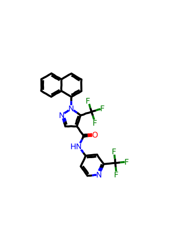 O=C(Nc1ccnc(C(F)(F)F)c1)c1cnn(-c2cccc3ccccc23)c1C(F)(F)F